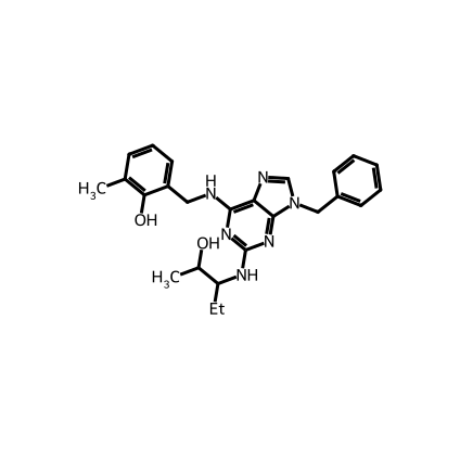 CCC(Nc1nc(NCc2cccc(C)c2O)c2ncn(Cc3ccccc3)c2n1)C(C)O